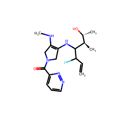 C=CC(F)C(NC1=C(NC)CN(C(=O)c2cccnn2)C1)[C@H](C)[C@@H](C)O